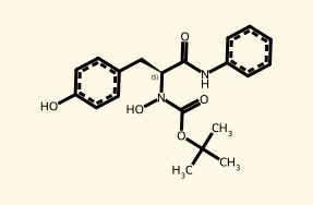 CC(C)(C)OC(=O)N(O)[C@@H](Cc1ccc(O)cc1)C(=O)Nc1ccccc1